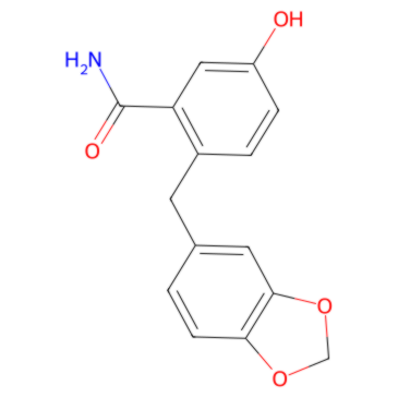 NC(=O)c1cc(O)ccc1Cc1ccc2c(c1)OCO2